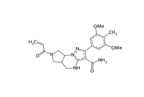 C=CC(=O)N1CC2CNc3c(C(N)=O)c(-c4cc(OC)c(C)c(OC)c4)nn3C2C1